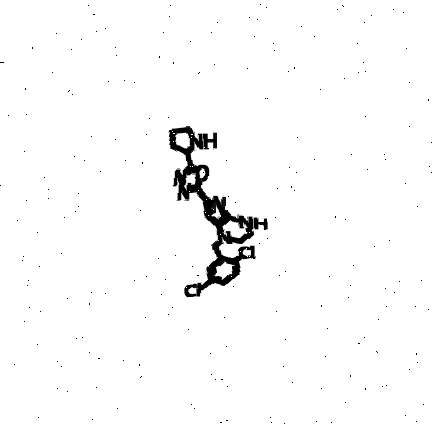 Clc1ccc(Cl)c(CN2CCNc3c2c2c(-c4nnc(C5CCCN5)o4)n3-2)c1